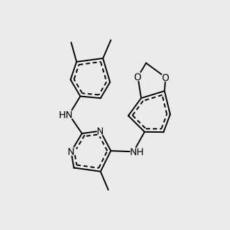 Cc1ccc(Nc2ncc(C)c(Nc3ccc4c(c3)OCO4)n2)cc1C